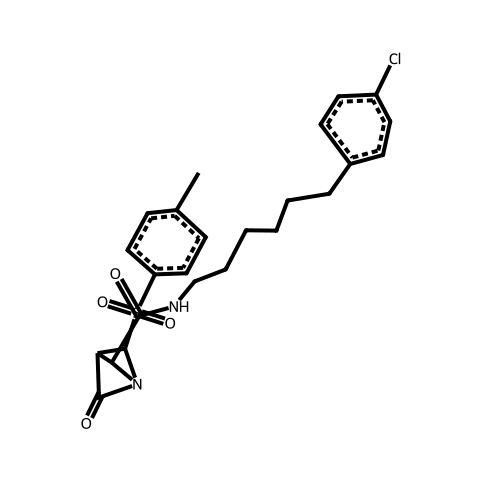 Cc1ccc(S(=O)(=O)C2C3C(=O)N2C3C(=O)NCCCCCCc2ccc(Cl)cc2)cc1